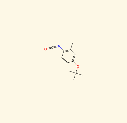 Cc1cc(O[Si](C)(C)C)ccc1N=C=O